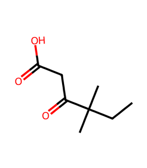 CCC(C)(C)C(=O)CC(=O)O